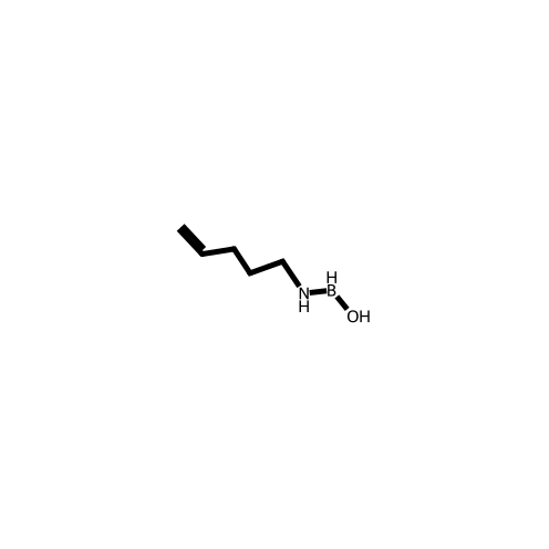 C=CCCCNBO